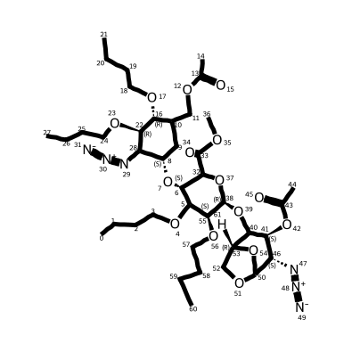 CCCCOC1[C@H](O[C@H]2CC(COC(C)=O)[C@@H](OCCCC)[C@H](OCCCC)C2N=[N+]=[N-])C(C(=O)OC)O[C@@H](OC2[C@@H](OC(C)=O)[C@H](N=[N+]=[N-])C3OC[C@H]2O3)[C@H]1OCCCC